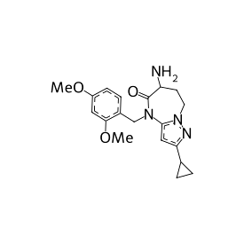 COc1ccc(CN2C(=O)C(N)CCn3nc(C4CC4)cc32)c(OC)c1